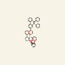 c1ccc(-c2cccc(-c3ccccc3)c2N(c2ccc(-c3ccc4c(c3)c(-c3ccccc3)c(-c3ccccc3)c3ccccc34)cc2)c2cccc3c2oc2ccccc23)cc1